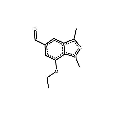 CCOc1cc(C=O)cc2c(C)nn(C)c12